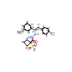 C[C@H](c1ccc(Cl)cc1)[C@H](CNC(=O)C1(S(C)(=O)=O)CCC1)c1cccc(C#N)c1